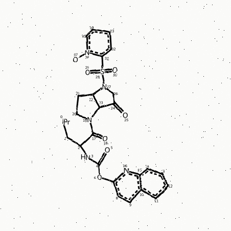 CC(C)CC(NC(=O)Oc1ccc2ccccc2n1)C(=O)N1CCC2C1C(=O)CN2S(=O)(=O)c1cccc[n+]1[O-]